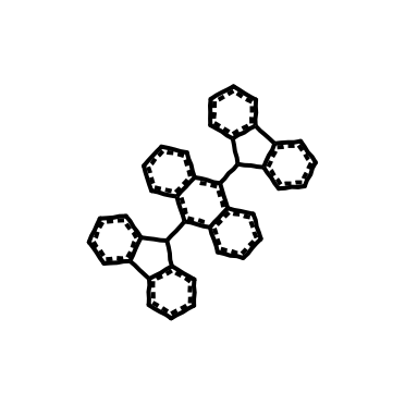 c1ccc2c(c1)-c1ccccc1C2c1c2ccccc2c(C2c3ccccc3-c3ccccc32)c2ccccc12